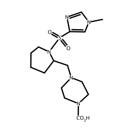 Cn1cnc(S(=O)(=O)N2CCCCC2CN2CCN(C(=O)O)CC2)c1